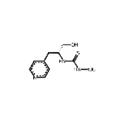 CC(C)(C)NC(=S)N[C@@H](CO)Cc1ccncc1